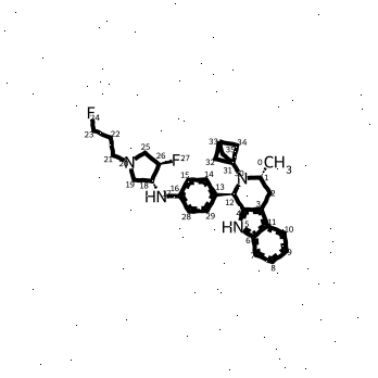 C[C@@H]1Cc2c([nH]c3ccccc23)[C@@H](c2ccc(N[C@@H]3CN(CCCF)C[C@H]3F)cc2)N1C12CC(C1)C2